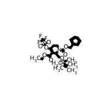 CCOC(=O)C1=C(OS(=O)(=O)C(F)(F)F)CCN(C(=O)OCc2ccccc2)C1CO[Si](C)(C)C(C)(C)C